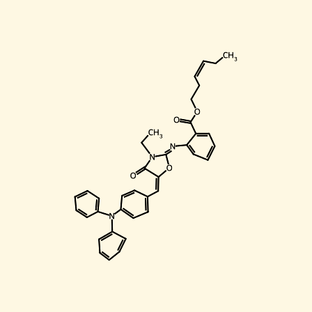 CC/C=C\CCOC(=O)c1ccccc1N=C1O/C(=C/c2ccc(N(c3ccccc3)c3ccccc3)cc2)C(=O)N1CC